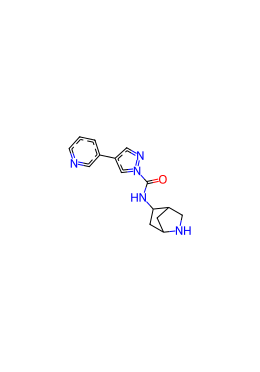 O=C(NC1CC2CC1CN2)n1cc(-c2cccnc2)cn1